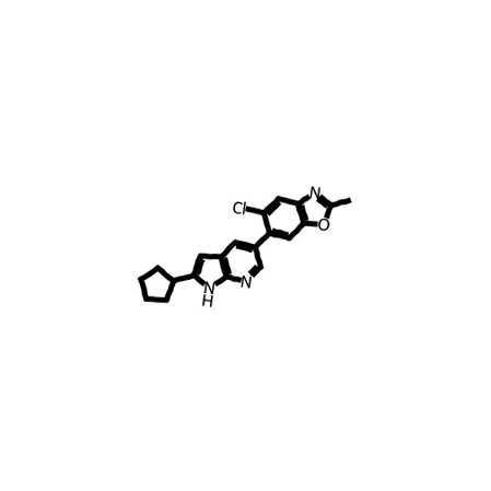 Cc1nc2cc(Cl)c(-c3cnc4[nH]c(C5CCCC5)cc4c3)cc2o1